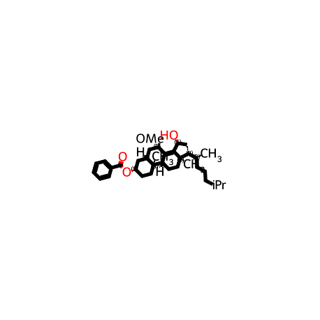 CO[C@@H]1C[C@H]2C[C@@H](OC(=O)c3ccccc3)CC[C@]2(C)[C@H]2CC[C@@]3(C)C(=C12)[C@@H](O)C[C@@H]3[C@H](C)CCCC(C)C